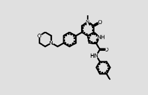 Cc1ccc(NC(=O)c2cc3c(-c4ccc(CN5CCOCC5)cc4)cn(C)c(=O)c3[nH]2)cc1